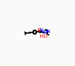 CC(O)c1nccn1Cc1cc(-c2ccc(C#CC3CC3)cc2)on1